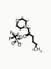 CCCCC(=O)C[S+]1CCOCC1.O=S(=O)([O-])C(F)(F)F